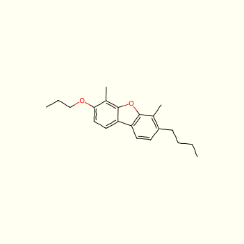 CCCCc1ccc2c(oc3c(C)c(OCCC)ccc32)c1C